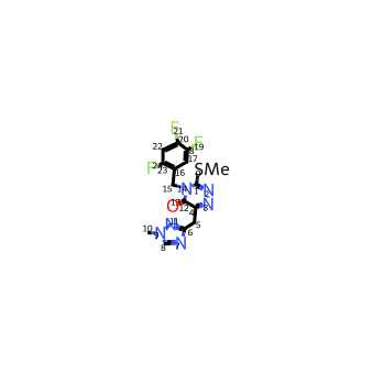 CSc1nnc(Cc2ncn(C)n2)c(=O)n1Cc1cc(F)c(F)cc1F